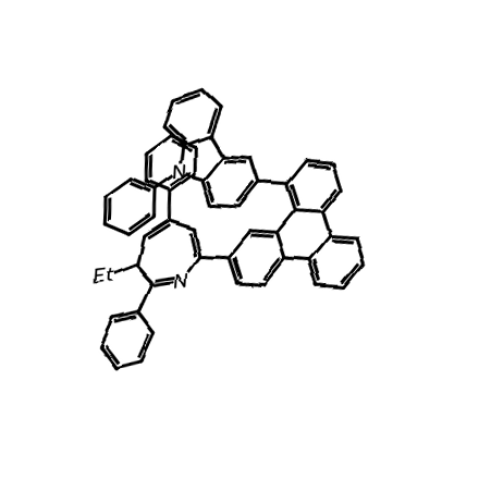 CCC1C=C(c2ccccc2)C=C(c2ccc3c4ccccc4c4cccc(-c5ccc6c(c5)c5ccccc5n6-c5ccccc5)c4c3c2)N=C1c1ccccc1